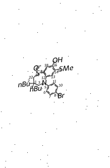 CCCCC1(CCCC)CN(c2ccc(Br)cc2)c2cc(SC)c(O)cc2[S+]([O-])C1